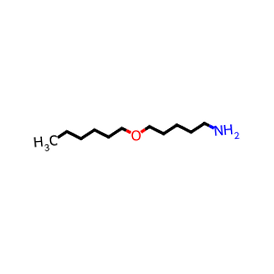 CCCCCCOCCCCCN